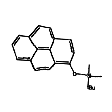 CC(C)(C)[Si](C)(C)Oc1ccc2ccc3cccc4ccc1c2c34